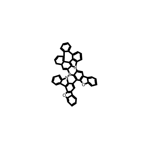 C1=CC2=C3c4c5n(c6cccc(c46)-c4ccccc42)-c2cc4c(oc6ccccc64)c4c2B(C5=CC3C1)n1c2ccccc2c2c3oc5ccccc5c3cc-4c21